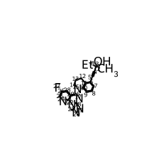 CCC(C)(O)C#Cc1cccc2c1CCCN2c1nc2nncn2c2ncc(F)cc12